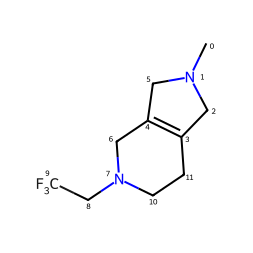 CN1CC2=C(C1)CN(CC(F)(F)F)CC2